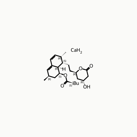 CC[C@H](C)C(=O)O[C@H]1C[C@@H](C)C=C2C=C[C@H](C)[C@H](CC[C@@H]3C[C@@H](O)CC(=O)O3)[C@H]21.[CaH2]